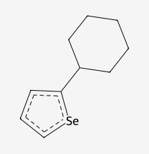 c1c[se]c(C2CCCCC2)c1